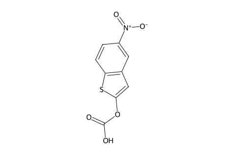 O=C(O)Oc1cc2cc([N+](=O)[O-])ccc2s1